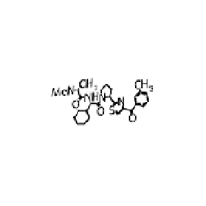 CN[C@@H](C)C(=O)N[C@H](C(=O)N1CCCC1c1nc(C(=O)c2cccc(C)c2)cs1)C1CCCCC1